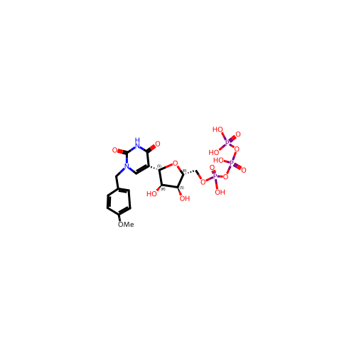 COc1ccc(Cn2cc([C@@H]3O[C@H](COP(=O)(O)OP(=O)(O)OP(=O)(O)O)[C@@H](O)[C@H]3O)c(=O)[nH]c2=O)cc1